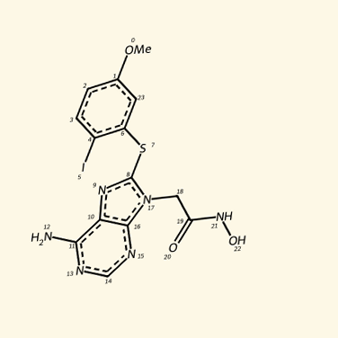 COc1ccc(I)c(Sc2nc3c(N)ncnc3n2CC(=O)NO)c1